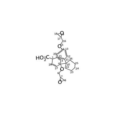 O=C(O)C1C=CC(OCC2CO2)(C2(c3ccc(OCC4CO4)cc3)CCCCC2)C=C1